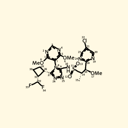 COc1ncnc(OC)c1-n1c(NS(=O)(=O)[C@@H](C)[C@H](OC)c2ncc(Cl)cn2)nnc1[C@H]1CC[C@H]1C(F)F